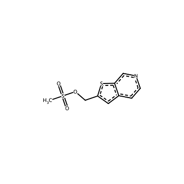 CS(=O)(=O)OCc1cc2ccncc2s1